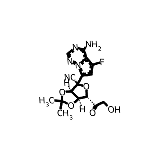 CC1(C)O[C@@H]2[C@@H](C(=O)CO)O[C@@](C#N)(c3cc(F)c4c(N)ncnn34)[C@@H]2O1